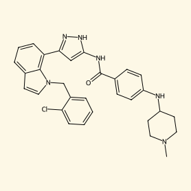 CN1CCC(Nc2ccc(C(=O)Nc3cc(-c4cccc5ccn(Cc6ccccc6Cl)c45)n[nH]3)cc2)CC1